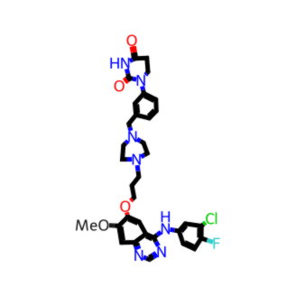 COc1cc2ncnc(Nc3ccc(F)c(Cl)c3)c2cc1OCCCN1CCN(Cc2cccc(N3CCC(=O)NC3=O)c2)CC1